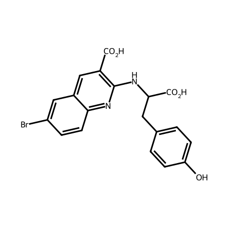 O=C(O)c1cc2cc(Br)ccc2nc1NC(Cc1ccc(O)cc1)C(=O)O